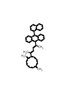 C=c1ccccc(=C)c(/C(C)=C/C=C(\C)c2c3ccccc3c(-c3cccc4ccccc34)c3ccccc23)ccc1